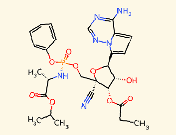 CCC(=O)O[C@H]1[C@@H](O)[C@H](c2ccc3c(N)ncnn23)O[C@]1(C#N)CO[P@@](=O)(N[C@@H](C)C(=O)OC(C)C)Oc1ccccc1